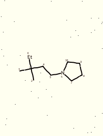 CCC(C)(C)CCN1CCCC1